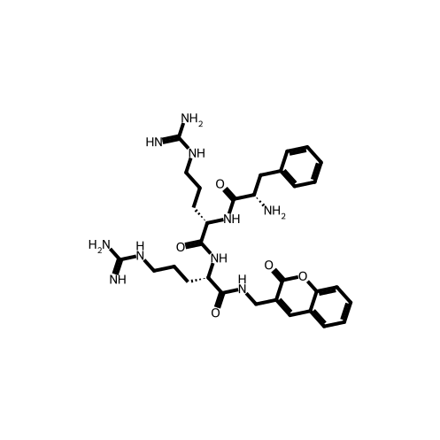 N=C(N)NCCC[C@H](NC(=O)[C@H](CCCNC(=N)N)NC(=O)[C@@H](N)Cc1ccccc1)C(=O)NCc1cc2ccccc2oc1=O